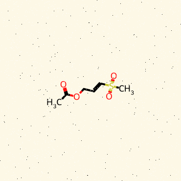 CC(=O)OCC=CS(C)(=O)=O